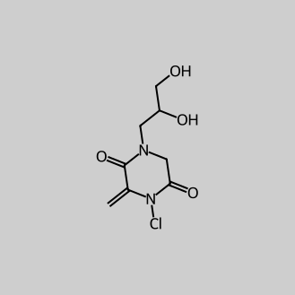 C=C1C(=O)N(CC(O)CO)CC(=O)N1Cl